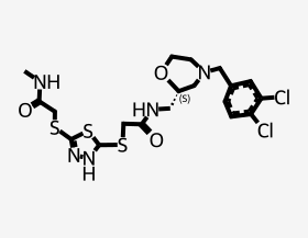 CNC(=O)CSC1=NNC(SCC(=O)NC[C@H]2CN(Cc3ccc(Cl)c(Cl)c3)CCO2)S1